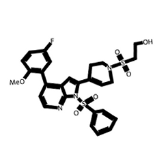 COc1ccc(F)cc1-c1ccnc2c1cc(C1=CCN(S(=O)(=O)CCO)CC1)n2S(=O)(=O)c1ccccc1